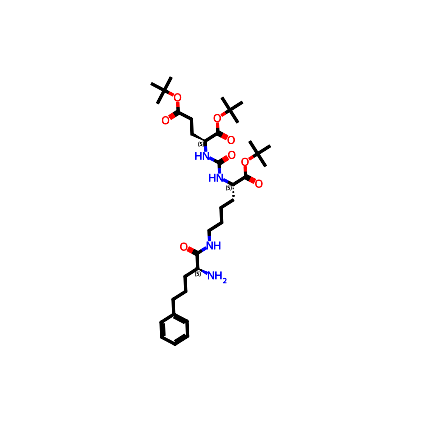 CC(C)(C)OC(=O)CC[C@H](NC(=O)N[C@@H](CCCCNC(=O)[C@@H](N)CCCc1ccccc1)C(=O)OC(C)(C)C)C(=O)OC(C)(C)C